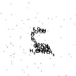 COc1cc(C(=O)NC2CC3(CCN(CC4CCN(Cc5ccc(C6CCC(=O)NC6=O)cc5F)CC4)CC3)C2)ccc1Nc1ncc2c(n1)N(C(C)C)CC(F)(F)C(=O)N2C